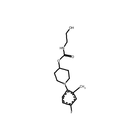 Cc1cc(F)ccc1N1CCC(OC(=O)NCCO)CC1